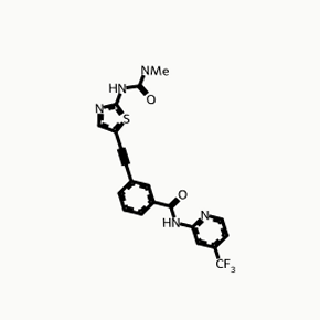 CNC(=O)Nc1ncc(C#Cc2cccc(C(=O)Nc3cc(C(F)(F)F)ccn3)c2)s1